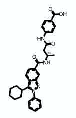 C[C@H](CC(=O)Nc1ccc(C(=O)O)cc1)NC(=O)c1ccc2c(C3CCCCC3)n(-c3ccccc3)nc2c1